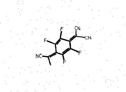 CC(C#N)=c1c(F)c(F)c(=C(C#N)C#N)c(F)c1F